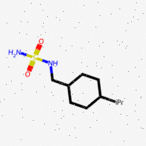 CC(C)C1CCC(CNS(N)(=O)=O)CC1